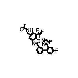 CC(=O)NCc1cc(C(F)(F)F)c2oc(-c3cccc(-c4ccc(F)cc4-c4nncn4C)c3)nc2c1